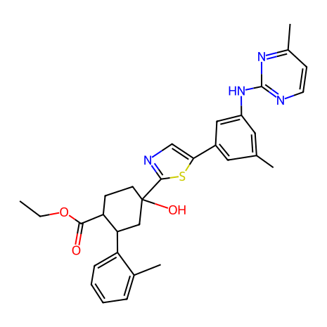 CCOC(=O)C1CCC(O)(c2ncc(-c3cc(C)cc(Nc4nccc(C)n4)c3)s2)CC1c1ccccc1C